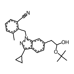 Cc1cccc(C#N)c1Cn1nc(C2CC2)c2ccc(CC(O)OC(C)(C)C)cc21